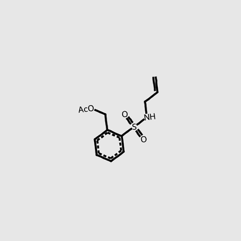 C=CCNS(=O)(=O)c1ccccc1COC(C)=O